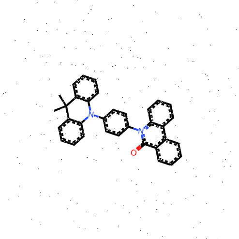 CC1(C)c2ccccc2N(c2ccc(-n3c(=O)c4ccccc4c4ccccc43)cc2)c2ccccc21